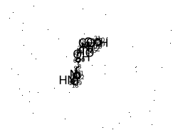 O=C(O)C(CCO[C@H]1C[C@@H](CCc2ccc3c(n2)NCCC3)C1)NC(=O)C(CO)c1ccccc1